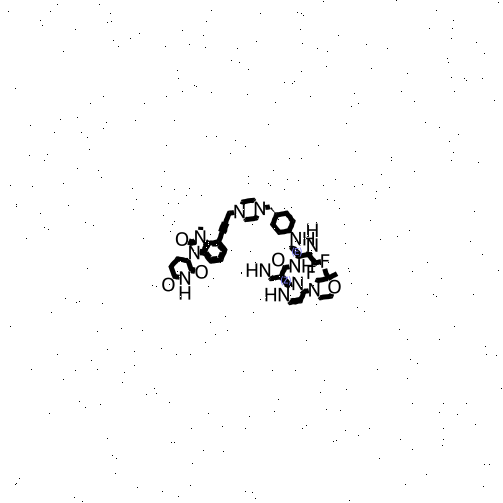 Cn1c(=O)n(C2CCC(=O)NC2=O)c2cccc(C#CCN3CCN(C[C@H]4CC[C@H](N/C=C(/NC(=O)/C(C=N)=C5\N=C(N6CCOC(C)(C)C6)C=CN5)C(=N)C(F)F)CC4)CC3)c21